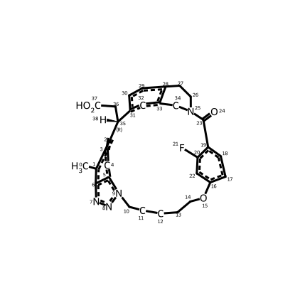 Cc1c2ccc3c1nnn3CCCCCOc1ccc(c(F)c1)C(=O)N1CCc3ccc(cc3C1)[C@H]2CC(=O)O